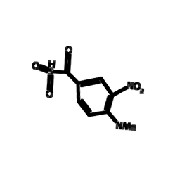 CNc1ccc(C(=O)[SH](=O)=O)cc1[N+](=O)[O-]